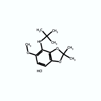 COc1ccc2c(c1PC(C)(C)C)OC(C)(C)O2.Cl